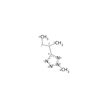 CCC(C)c1nnn(C)n1